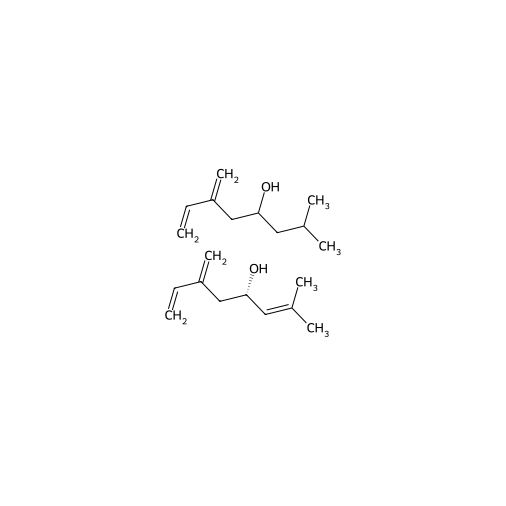 C=CC(=C)CC(O)CC(C)C.C=CC(=C)C[C@H](O)C=C(C)C